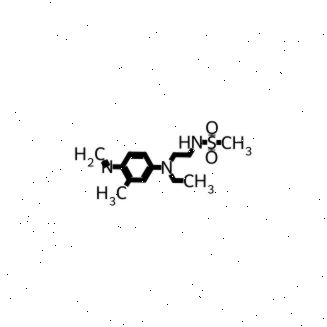 C=Nc1ccc(N(CC)CCNS(C)(=O)=O)cc1C